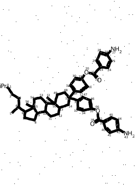 CC(C)CCCC(C)C1CCC2C3CCC4CC(c5ccc(OC(=O)c6ccc(N)cc6)cc5)(c5ccc(OC(=O)c6ccc(N)cc6)cc5)CCC4(C)C3CCC12C